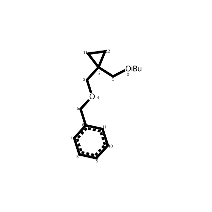 CC(C)COCC1(COCc2ccccc2)CC1